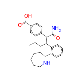 CCCC(c1ccccc1C1CCCCCN1)C(C(N)=O)c1ccc(C(=O)O)cc1